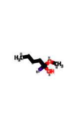 CCCCC(O)(I)OC